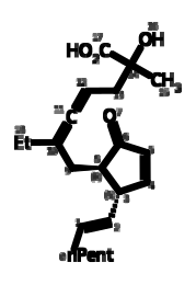 CCCCCC=C[C@H]1C=CC(=O)[C@@H]1CC(=C=CCC(C)(O)C(=O)O)CC